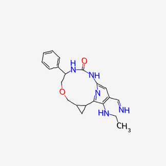 CCNc1c(C=N)cc2nc1C1CC1COCC(c1ccccc1)NC(=O)N2